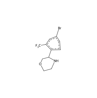 FC(F)(F)c1cc(Br)ccc1C1COCCN1